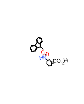 O=C(N[C@H]1CCC[C@H](C(=O)O)C1)OCC1c2ccccc2-c2ccccc21